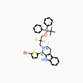 C[C@@H]1Cc2c([nH]c3ccccc23)[C@@H](c2ccc(Br)s2)N1CC(F)(F)CO[Si](c1ccccc1)(c1ccccc1)C(C)(C)C